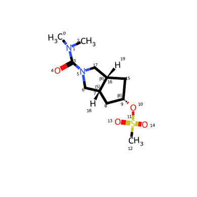 CN(C)C(=O)N1C[C@H]2C[C@@H](OS(C)(=O)=O)C[C@H]2C1